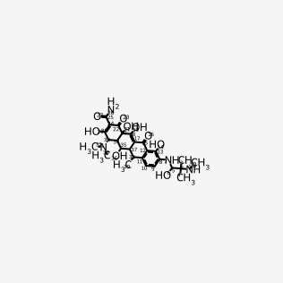 CNC(C)(C)C(O)Nc1ccc2c(c1O)C(=O)C1=C(O)C3(O)C(=O)C(C(N)=O)=C(O)[C@@H](N(C)C)C3C(O)C1C2C